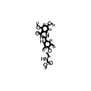 COC(=O)NCCOc1c(C)cc(-c2nc3cc(OC)cc(OC)c3c(=O)[nH]2)cc1C